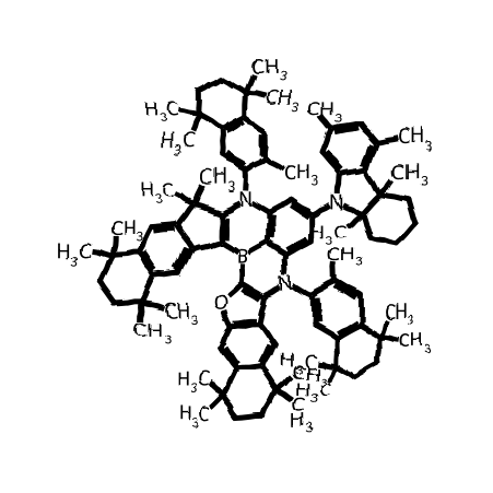 Cc1cc(C)c2c(c1)N(c1cc3c4c(c1)N(c1cc5c(cc1C)C(C)(C)CCC5(C)C)c1c(oc5cc6c(cc15)C(C)(C)CCC6(C)C)B4C1=C(N3c3cc4c(cc3C)C(C)(C)CCC4(C)C)C(C)(C)c3cc4c(cc31)C(C)(C)CCC4(C)C)C1(C)CCCCC21C